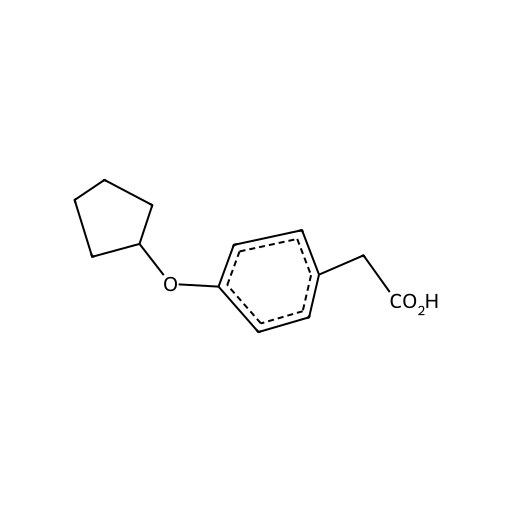 O=C(O)Cc1ccc(OC2CCCC2)cc1